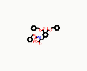 O=C(N[C@@H](Cc1ccc(C(=O)OCc2ccccc2)c(C(=O)OCc2ccccc2)c1)C(=O)O)OCc1ccccc1